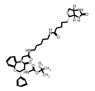 CC(C)(C)OC(=O)N[C@H]1C(=O)N(CC(=O)NCCCCCNC(=O)CCCC[C@@H]2SC[C@@H]3NC(=O)N[C@@H]32)c2ccccc2O[C@H]1c1ccccc1